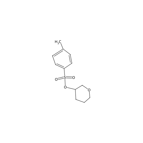 Cc1ccc(S(=O)(=O)OC2CCCOC2)cc1